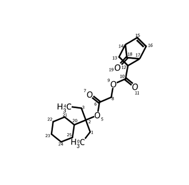 CCC(CC)(OC(=O)COC(=O)C1CC2C=CC1C2=O)C1CCCCC1